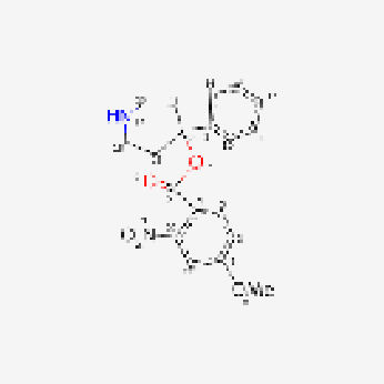 COc1ccc(C(=O)OC2(c3ccccc3)CCNCC2)c([N+](=O)[O-])c1